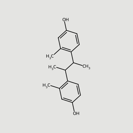 Cc1cc(O)ccc1C(C)C(C)c1ccc(O)cc1C